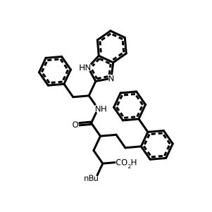 CCCCC(CC(CCc1ccccc1-c1ccccc1)C(=O)NC(Cc1ccccc1)c1nc2ccccc2[nH]1)C(=O)O